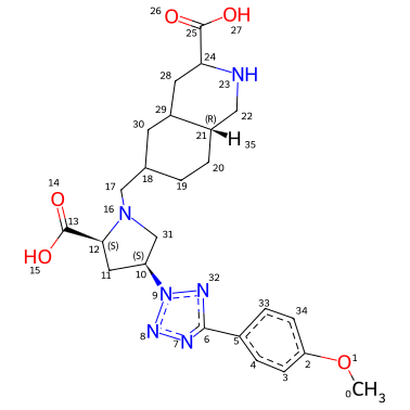 COc1ccc(-c2nnn([C@H]3C[C@@H](C(=O)O)N(CC4CC[C@H]5CNC(C(=O)O)CC5C4)C3)n2)cc1